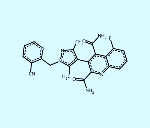 Cc1c(-c2c(C(N)=O)nc3cccc(F)c3c2C(N)=O)c(C(F)(F)F)nn1Cc1ncccc1C#N